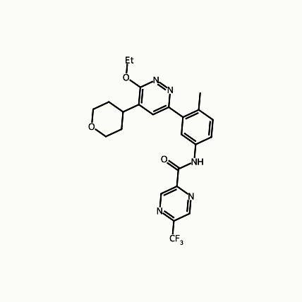 CCOc1nnc(-c2cc(NC(=O)c3cnc(C(F)(F)F)cn3)ccc2C)cc1C1CCOCC1